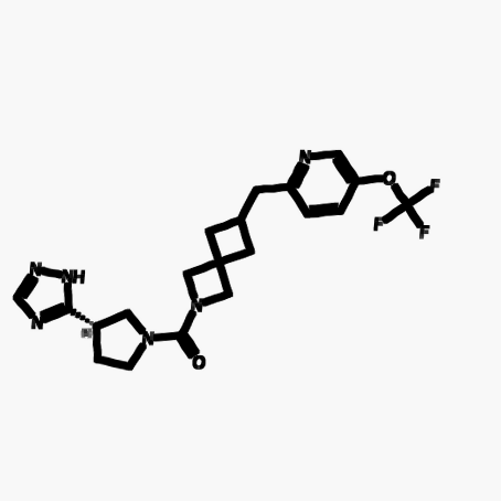 O=C(N1CC[C@H](c2ncn[nH]2)C1)N1CC2(CC(Cc3ccc(OC(F)(F)F)cn3)C2)C1